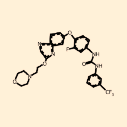 O=C(Nc1cccc(C(F)(F)F)c1)Nc1ccc(Oc2ccc3ncc(OCCN4CCOCC4)nc3c2)c(F)c1